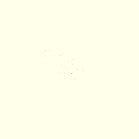 CC(NC(=O)N[C@@H](CCC(=O)OCc1ccccc1)C(=O)OCc1ccccc1)C(=O)OC(C)(C)C